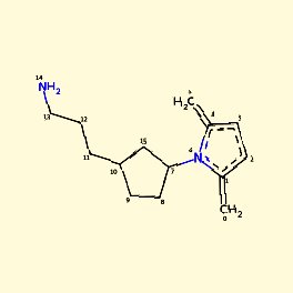 C=c1ccc(=C)n1C1CCC(CCCN)C1